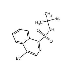 CCc1cnc(S(=O)(=O)NC(C)(C)CC)c2ccccc12